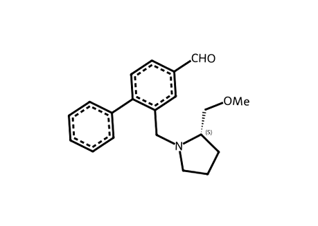 COC[C@@H]1CCCN1Cc1cc(C=O)ccc1-c1ccccc1